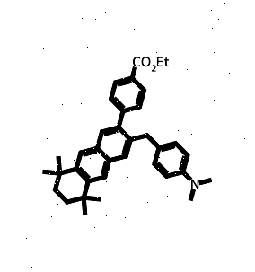 CCOC(=O)c1ccc(-c2cc3cc4c(cc3cc2Cc2ccc(N(C)C)cc2)C(C)(C)CCC4(C)C)cc1